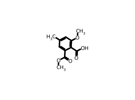 COC(=O)c1cc(C)cc(OC)c1C(=O)O